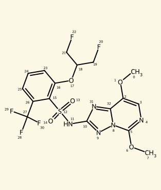 COc1cnc(OC)n2nc(NS(=O)(=O)c3c(OC(CF)CF)cccc3C(F)(F)F)nc12